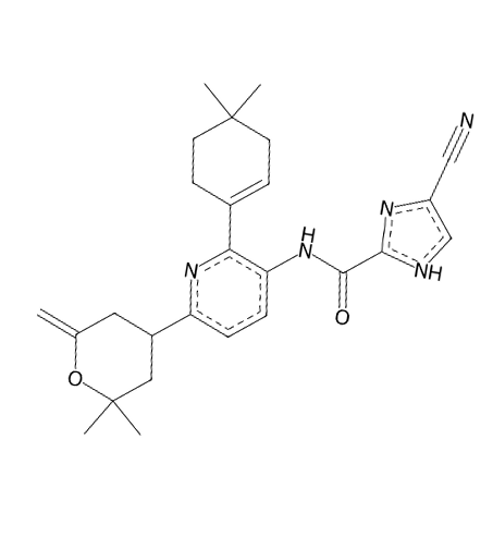 C=C1CC(c2ccc(NC(=O)c3nc(C#N)c[nH]3)c(C3=CCC(C)(C)CC3)n2)CC(C)(C)O1